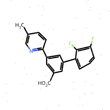 Cc1ccc(-c2cc(C(=O)O)cc(-c3cccc(F)c3F)c2)nc1